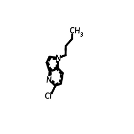 CCCCn1ccc2nc(Cl)ccc21